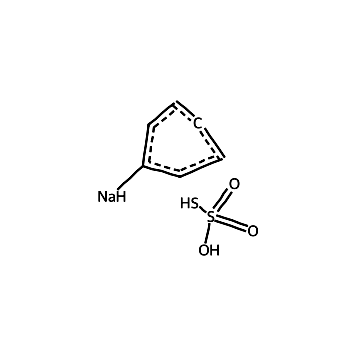 Cc1ccccc1.O=S(=O)(O)S.[NaH]